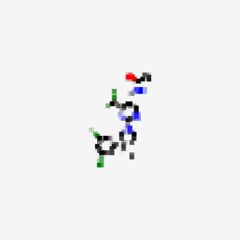 CCC(=O)NCc1cnc(N2CCC(c3cc(Cl)cc(Cl)c3)(C(F)(F)F)C2)nc1C(F)F